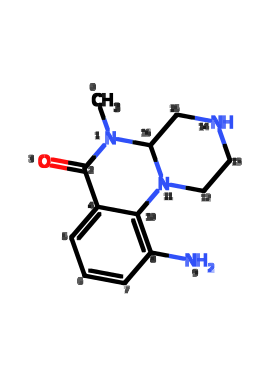 CN1C(=O)c2cccc(N)c2N2CCNCC12